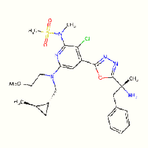 COCCN(C[C@@H]1C[C@H]1C)c1cc(-c2nnc([C@](C)(N)Cc3ccccc3)o2)c(Cl)c(N(C)S(C)(=O)=O)n1